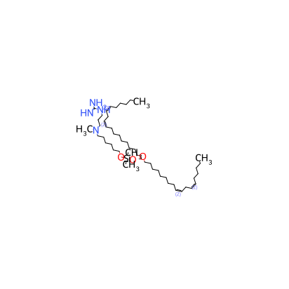 CCCCC/C=C\C/C=C\CCCCCCCCOC(CCCCCCC/C=C\C/C=C\CCCCC)O[Si](C)(C)OCCCCCCN(C)CCCNC(=N)N